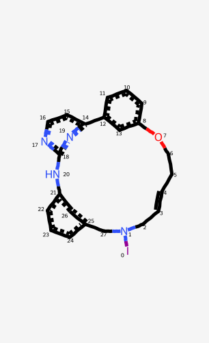 IN1C/C=C/CCOc2cccc(c2)-c2ccnc(n2)Nc2cccc(c2)C1